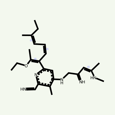 CCO/C(C)=C(/C=C\C=C(\C)CC)c1cc(NCC(=N)/C=C(/C)NC)c(C)c(C=N)n1